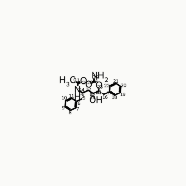 CC(=O)N[C@@H](Cc1ccccc1)C[C@H](O)[C@H](Cc1ccccc1)OC(N)=O